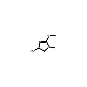 CNC1=NC(O)CN1C